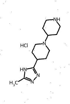 Cc1nnc(C2CCN(C3CCNCC3)CC2)[nH]1.Cl